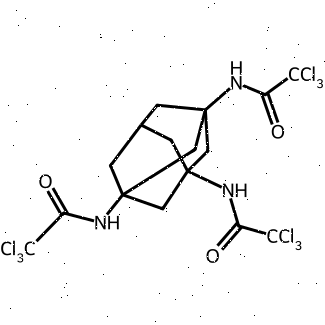 O=C(NC12CC3CC(NC(=O)C(Cl)(Cl)Cl)(C1)CC(NC(=O)C(Cl)(Cl)Cl)(C3)C2)C(Cl)(Cl)Cl